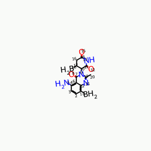 Bc1ccc(N)c2c(=O)n(C3C(=O)NC(=O)CC3B)c(C)nc12